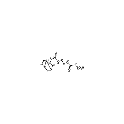 O=C(CC12CC3CC(CC(C3)C1)C2)OCCOC(=O)CS(=O)(=O)O